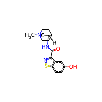 C[N+]12CCC(CC1)[C@H](NC(=O)c1nsc3ccc(O)cc13)C2